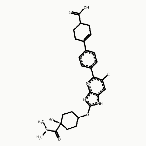 CN(C)C(=O)[C@]1(O)CC[C@@H](Oc2nc3nc(-c4ccc(C5=CCC(C(=O)O)CC5)cc4)c(Cl)cc3[nH]2)CC1